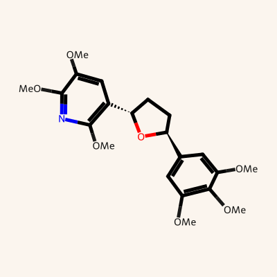 COc1cc([C@@H]2CC[C@@H](c3cc(OC)c(OC)c(OC)c3)O2)c(OC)nc1OC